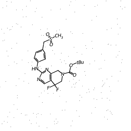 CC(C)(C)OC(=O)N1Cc2nc(Nc3ccc(CS(C)(=O)=O)cc3)ncc2C(F)(F)C1